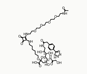 CC(=O)NCCOCCOCCOCCOCCNc1c(NCCCCCCO[C@]2(C(=O)O)C[C@H](O)[C@@H](NC(=O)CO)[C@H]([C@H](O)[C@H](O)CNC(=O)Cc3ccc(-c4nnn[nH]4)cc3)O2)c(=O)c1=O